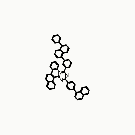 c1ccc(-c2ccc3ccccc3c2-c2nc(-c3ccc(-c4cccc5ccccc45)cc3)nc(-c3cccc(-c4cccc5c(-c6ccccc6)cccc45)c3)n2)cc1